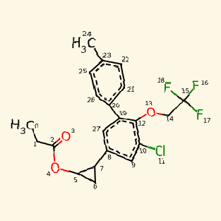 CCC(=O)OC1CC1c1cc(Cl)c(OCC(F)(F)F)c(-c2ccc(C)cc2)c1